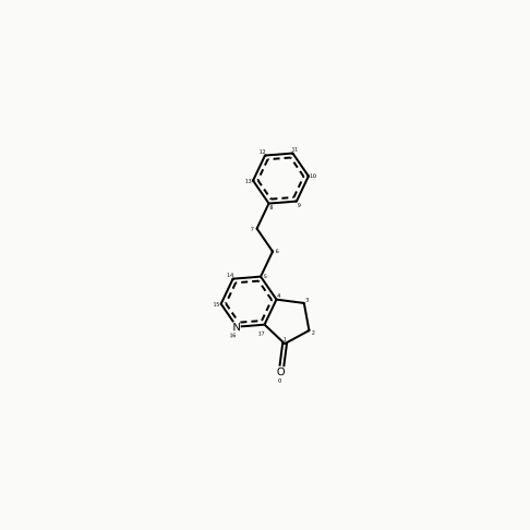 O=C1CCc2c(CCc3ccccc3)ccnc21